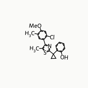 COc1cc(Cl)c(-c2nc(C3(c4ccccc4O)CC3)sc2C)cc1C